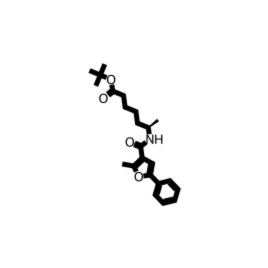 Cc1oc(-c2ccccc2)cc1C(=O)N[C@H](C)CCCCC(=O)OC(C)(C)C